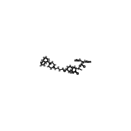 CCCCCCCCCN(CCCCCCCCC)C(=O)OC(C)c1cc2ccc(OCCCCN3CCN(c4cccc5sccc45)CC3)cc2[nH]c1=O